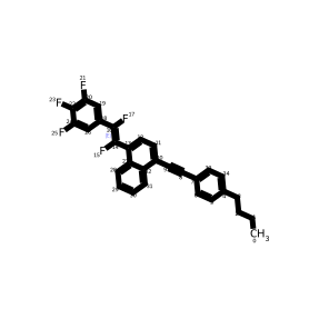 CCCCc1ccc(C#Cc2ccc(/C(F)=C(\F)c3cc(F)c(F)c(F)c3)c3ccccc23)cc1